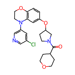 O=C(C1CCOCC1)N1CCC(Oc2ccc3c(c2)N(c2cncc(Cl)c2)CCO3)C1